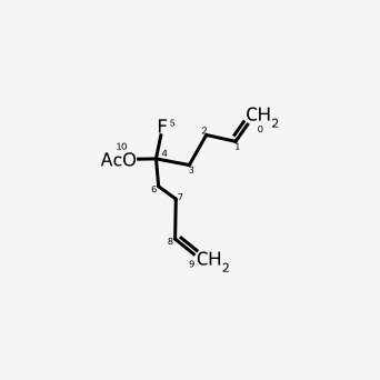 C=CCCC(F)(CCC=C)OC(C)=O